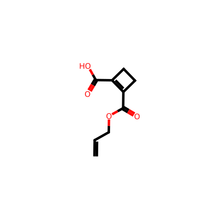 C=CCOC(=O)C1=C(C(=O)O)CC1